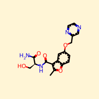 Cc1oc2ccc(OCc3cnccn3)cc2c1C(=O)N[C@@H](CO)C(N)=O